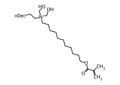 C=C(C)C(=O)OCCCCCCCCCCC[N+](CO)(CO)CCCCCCCCCCCC